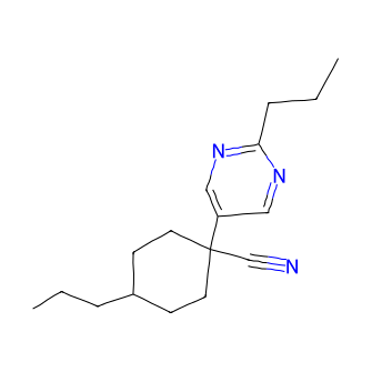 CCCc1ncc(C2(C#N)CCC(CCC)CC2)cn1